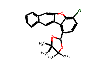 CC1(C)OB(c2ccc(Cl)c3oc4cc5ccccc5cc4c23)OC1(C)C